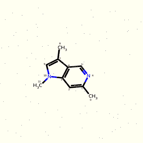 Cc1cc2c(cn1)c(C)cn2C